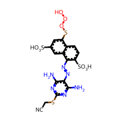 N#CCSc1nc(N)c(/N=N/c2c(S(=O)(=O)O)ccc3c(SOOO)cc(S(=O)(=O)O)cc23)c(N)n1